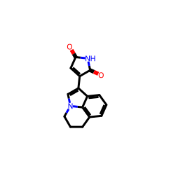 O=C1C=C(c2cn3c4c(cccc24)CCC3)C(=O)N1